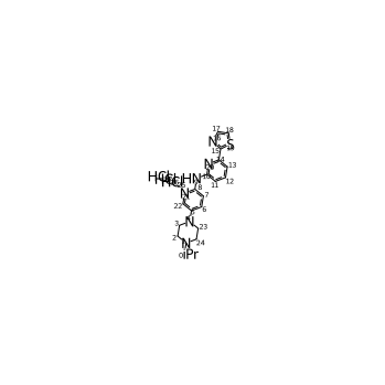 CC(C)N1CCN(c2ccc(Nc3cccc(-c4nccs4)n3)nc2)CC1.Cl.Cl.Cl